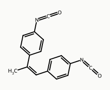 CC(=Cc1ccc(N=C=O)cc1)c1ccc(N=C=O)cc1